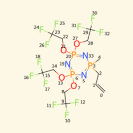 C=CCP1(C)=NP(OCC(F)(F)F)(OCC(F)(F)F)=NP(OCC(F)(F)F)(OCC(F)(F)F)=N1